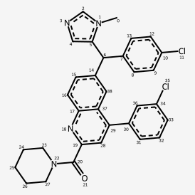 Cn1cncc1C(c1ccc(Cl)cc1)c1ccc2nc(C(=O)N3CCCCC3)cc(-c3cccc(Cl)c3)c2c1